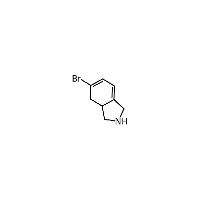 BrC1=CC=C2CNCC2C1